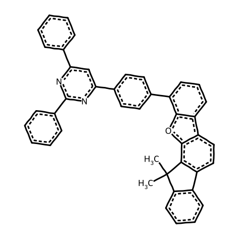 CC1(C)c2ccccc2-c2ccc3c(oc4c(-c5ccc(-c6cc(-c7ccccc7)nc(-c7ccccc7)n6)cc5)cccc43)c21